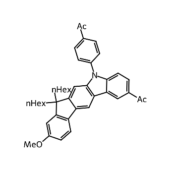 CCCCCCC1(CCCCCC)c2cc(OC)ccc2-c2cc3c4cc(C(C)=O)ccc4n(-c4ccc(C(C)=O)cc4)c3cc21